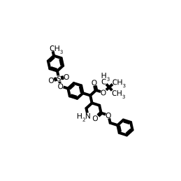 Cc1ccc(S(=O)(=O)Oc2ccc(C(C(=O)OC(C)(C)C)C(CN)CC(=O)OCc3ccccc3)cc2)cc1